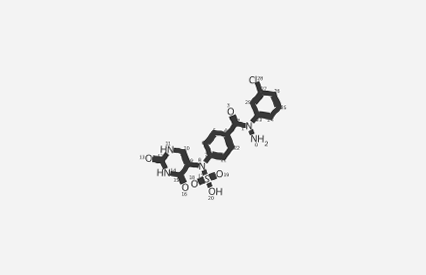 NN(C(=O)c1ccc(N(c2c[nH]c(=O)[nH]c2=O)S(=O)(=O)O)cc1)c1cccc(Cl)c1